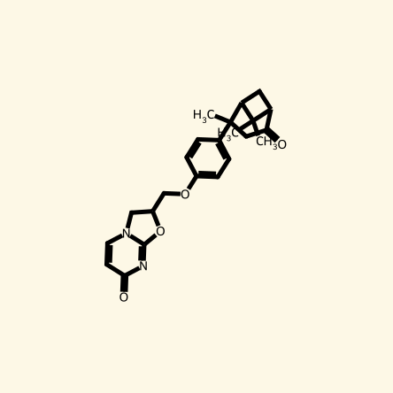 CC1(c2ccc(OCC3Cn4ccc(=O)nc4O3)cc2)CC(=O)C2CC1C2(C)C